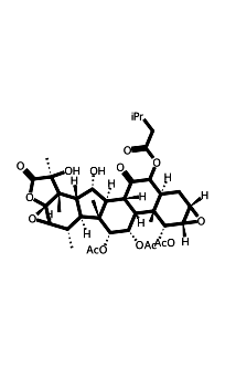 CC(=O)O[C@H]1[C@H]2[C@@H](C(=O)C(OC(=O)CC(C)C)[C@H]3C[C@@H]4O[C@@H]4[C@H](OC(C)=O)[C@]23C)[C@@H]2[C@@H](O)[C@@H]3[C@H]([C@H](C)[C@H]4O[C@]45OC(=O)[C@@](C)(O)[C@]35C)[C@@]2(C)[C@H]1OC(C)=O